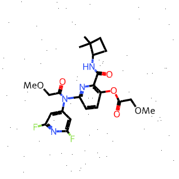 COCC(=O)Oc1ccc(N(C(=O)COC)c2cc(F)nc(F)c2)nc1C(=O)NC1CCC1(C)C